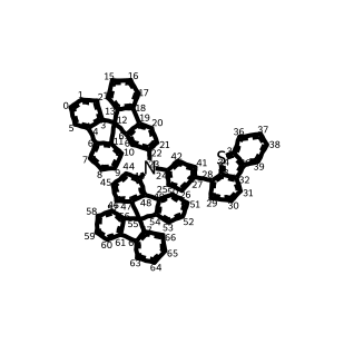 c1ccc2c(c1)-c1ccccc1C21c2ccccc2-c2ccc(N(c3ccc(-c4cccc5c4sc4ccccc45)cc3)c3cccc4c3-c3ccccc3C43c4ccccc4-c4ccccc43)cc21